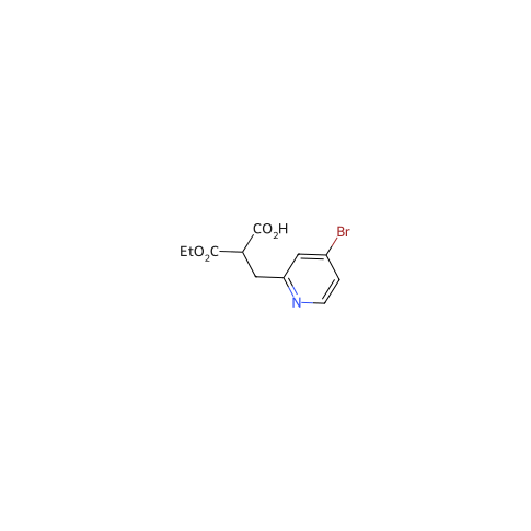 CCOC(=O)C(Cc1cc(Br)ccn1)C(=O)O